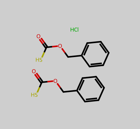 Cl.O=C(S)OCc1ccccc1.O=C(S)OCc1ccccc1